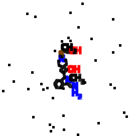 CC(CO)SN1CCC2(CC1)CC(C1c3ccccc3/C(=C/N)N1C)C2O